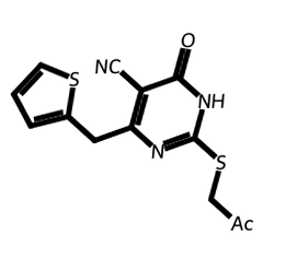 CC(=O)CSc1nc(Cc2cccs2)c(C#N)c(=O)[nH]1